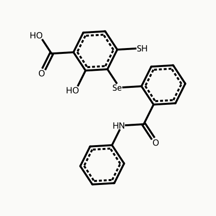 O=C(Nc1ccccc1)c1ccccc1[Se]c1c(S)ccc(C(=O)O)c1O